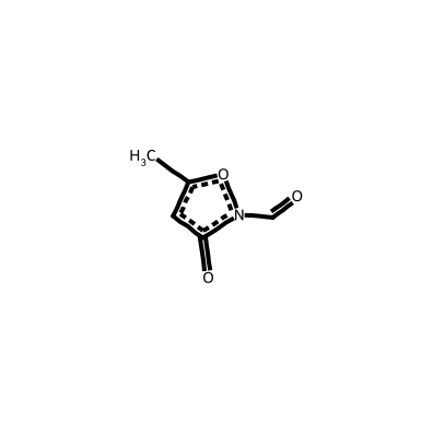 Cc1cc(=O)n(C=O)o1